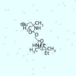 CCC(C)(C)CC(C)(CC)NC(=O)COC(=O)NC(C)(C)CC(C)(C)C